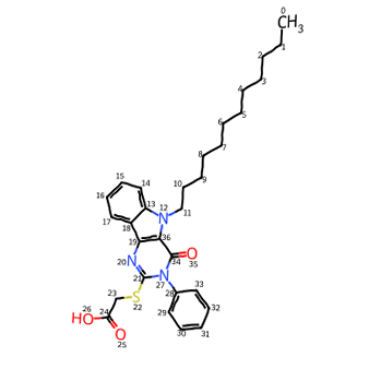 CCCCCCCCCCCCn1c2ccccc2c2nc(SCC(=O)O)n(-c3ccccc3)c(=O)c21